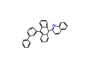 C1=CC2=C(c3cccc(-c4ccccc4)c3)c3ccccc3C(c3ccc4ccccc4n3)C2C=C1